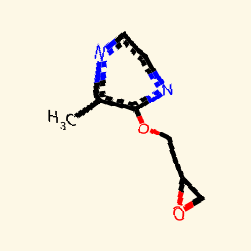 Cc1nccnc1OCC1CO1